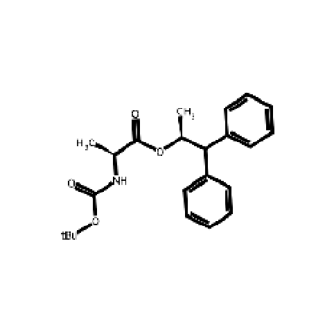 C[C@H](NC(=O)OC(C)(C)C)C(=O)O[C@@H](C)C(c1ccccc1)c1ccccc1